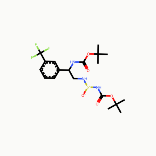 CC(C)(C)OC(=O)NC(CN[S+]([O-])NC(=O)OC(C)(C)C)c1cccc(C(F)(F)F)c1